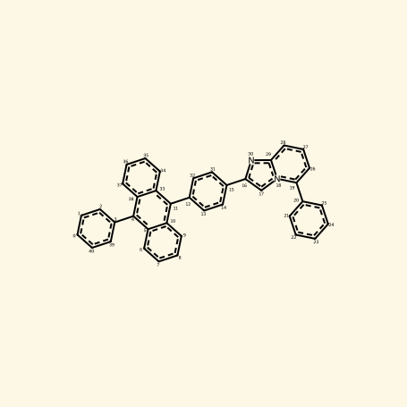 c1ccc(-c2c3ccccc3c(-c3ccc(-c4cn5c(-c6ccccc6)cccc5n4)cc3)c3ccccc23)cc1